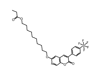 CCC(=O)OCCCCCCCCCCOc1cc2cc(-c3ccc(S(F)(F)(F)(F)F)cc3)c(=O)oc2cn1